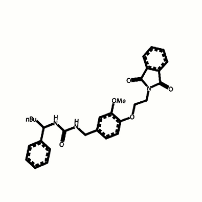 CCCCC(NC(=O)NCc1ccc(OCCN2C(=O)c3ccccc3C2=O)c(OC)c1)c1ccccc1